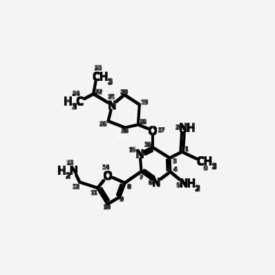 CC(=N)c1c(N)nc(-c2ccc(CN)o2)nc1OC1CCN(C(C)C)CC1